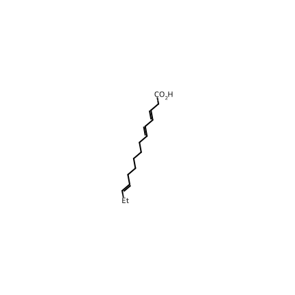 CCC=CCCCCCC=CC=CCC(=O)O